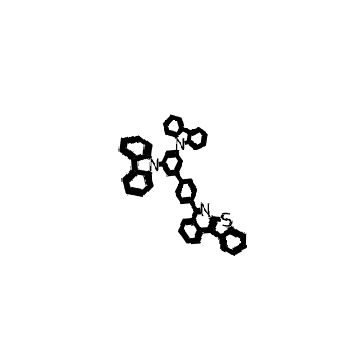 c1ccc2c(c1)sc1nc(-c3ccc(-c4cc(-n5c6ccccc6c6ccccc65)cc(-n5c6ccccc6c6ccccc65)c4)cc3)c3ccccc3c12